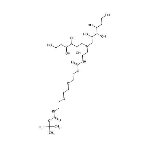 CC(C)(C)OC(=O)NCCOCCOCCOC(=O)NCCN(CC(O)C(O)C(O)CCO)CC(O)C(O)C(O)CCO